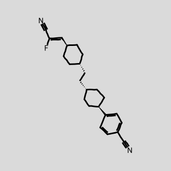 N#C/C(F)=C/[C@H]1CC[C@H](CC[C@H]2CC[C@H](c3ccc(C#N)cc3)CC2)CC1